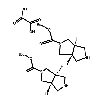 CC(C)(C)OC(=O)N1C[C@H]2CNC[C@@H]2C1.CC(C)(C)OC(=O)N1C[C@H]2CNC[C@@H]2C1.O=C(O)C(=O)O